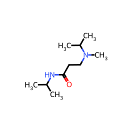 CC(C)NC(=O)CCN(C)C(C)C